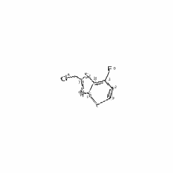 Fc1cccc2nc(Cl)sc12